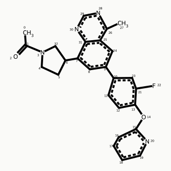 CC(=O)N1CCC(c2cc(-c3ccc(Oc4ccccn4)c(F)c3)cc3c(C)ncnc23)C1